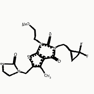 COCCn1c(=O)n(CC2CC2(F)F)c(=O)c2c(C)c(CN3CCNC3=O)sc21